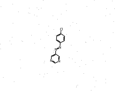 Clc1ccc(N=Nc2cncnc2)cc1